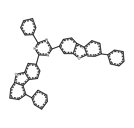 c1ccc(-c2ccc3c(c2)oc2cc(-c4nc(-c5ccccc5)nc(-c5ccc6c(c5)oc5cccc(-c7ccccc7)c56)n4)ccc23)cc1